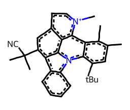 Cc1cc(C(C)(C)C)c2c(c1C)c1c3c(cc[n+]1C)cc(C(C)(C)C#N)c1c4ccccc4n2c13